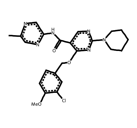 COc1ccc(COc2nc(N3C[CH]CCC3)ncc2C(=O)Nc2cnc(C)cn2)cc1Cl